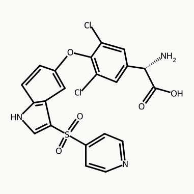 N[C@H](C(=O)O)c1cc(Cl)c(Oc2ccc3[nH]cc(S(=O)(=O)c4ccncc4)c3c2)c(Cl)c1